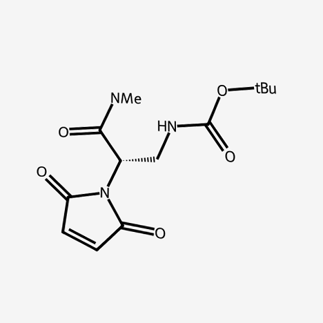 CNC(=O)[C@H](CNC(=O)OC(C)(C)C)N1C(=O)C=CC1=O